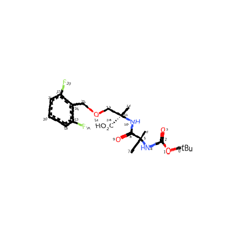 CC(C)(C)OC(=O)NC(C)(C)C(=O)N[C@](C)(COCc1c(F)cccc1F)C(=O)O